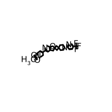 CS(=O)(=O)N1CC=C(c2cc3c(cn2)OC2(C3)CC3(CCN(c4ccc(C(F)(F)F)cn4)CC3)C2)CC1